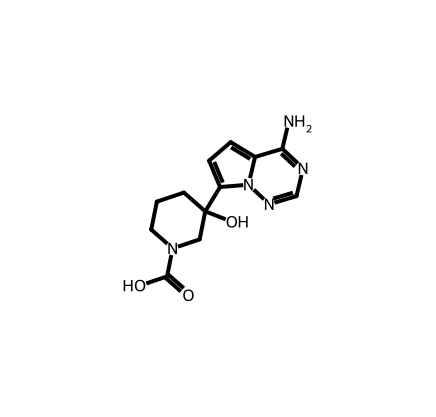 Nc1ncnn2c(C3(O)CCCN(C(=O)O)C3)ccc12